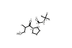 CC(CO)C(=O)N1CCC[C@H]1C(=O)OC(C)(C)C